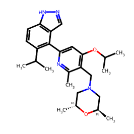 Cc1nc(-c2c(C(C)C)ccc3[nH]ncc23)cc(OC(C)C)c1CN1C[C@@H](C)O[C@H](C)C1